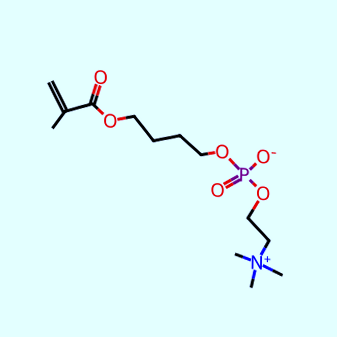 C=C(C)C(=O)OCCCCOP(=O)([O-])OCC[N+](C)(C)C